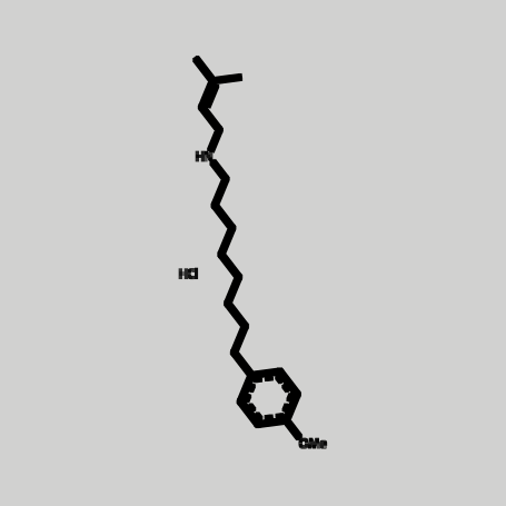 COc1ccc(CCCCCCCCNCC=C(C)C)cc1.Cl